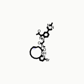 CC(=O)c1nn(CC(=O)N(C)[C@H]2C/C=C/CCCCCCc3ccc(Br)nc3NC2=O)c2ccc(-c3cnc(C)nc3)cc12